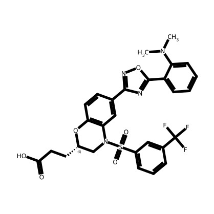 CN(C)c1ccccc1-c1nc(-c2ccc3c(c2)N(S(=O)(=O)c2cccc(C(F)(F)F)c2)C[C@H](CCC(=O)O)O3)no1